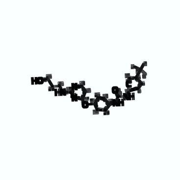 CC(C)(C)c1ccc(NC(=O)Nc2ccc(Oc3ccnc(NCCCO)n3)cc2)cc1